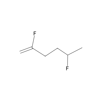 C=C(F)CCC(C)F